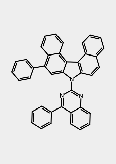 c1ccc(-c2nc(-n3c4ccc5ccccc5c4c4c5ccccc5c(-c5ccccc5)cc43)nc3ccccc23)cc1